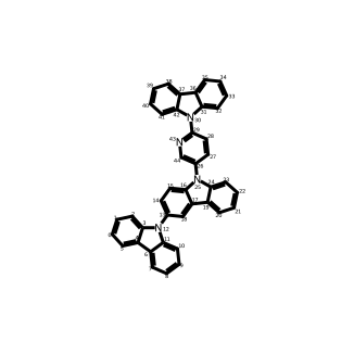 c1ccc2c(c1)c1ccccc1n2-c1ccc2c(c1)c1ccccc1n2-c1ccc(-n2c3ccccc3c3ccccc32)nc1